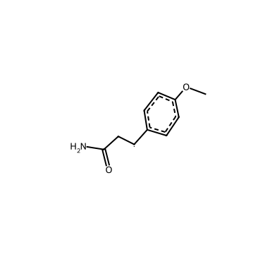 COc1ccc([CH]CC(N)=O)cc1